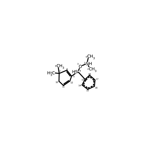 C[SiH](C)O[SiH](C1=CC(C)(C)CC=C1)c1ccccc1